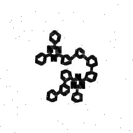 c1ccc(-c2cccc(-c3ccccc3-c3nc(-c4ccccc4)nc(-c4cccc(-c5cccc(-c6cccc(-c7cccc(-c8nc(-c9ccccc9)nc(-c9ccccc9)n8)c7)c6)c5)c4)n3)c2)cc1